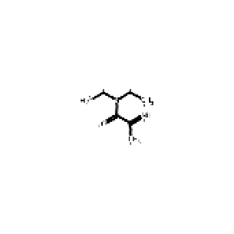 CCN(CC)C(=O)C(C)=N